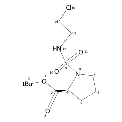 CC(C)(C)OC(=O)[C@@H]1CCCN1S(=O)(=O)NCCCl